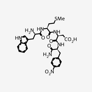 CSCC[C@H](NC(=O)[C@H](N)Cc1c[nH]c2ccccc12)C(=O)N[C@@H](CC(=O)O)C(=O)N[C@@H](Cc1ccc([N+](=O)[O-])cc1)C(N)=O